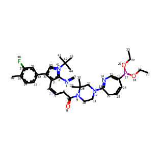 C=Nc1c(/C=C\CC(=O)N2CCN(C3=NC=C(P(OCC)OCC)C=CC3)CC2(C)C)c(-c2ccc(C)c(F)c2)cn1C(C)(C)C